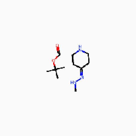 CC(C)(C)OC=O.CNN=C1CCNCC1